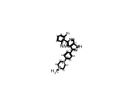 CNc1cccc(F)c1-c1cc2c(-c3ccc(N4CCN(C)CC4)cc3)n[nH]c2cn1